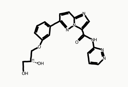 O=C(Nc1cccnn1)c1cnc2ccc(-c3cccc(OC[C@H](O)CO)c3)nn12